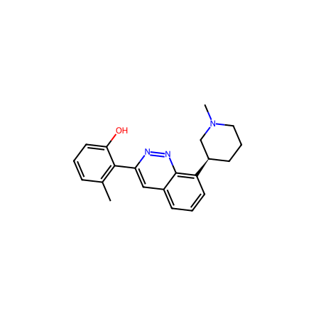 Cc1cccc(O)c1-c1cc2cccc([C@@H]3CCCN(C)C3)c2nn1